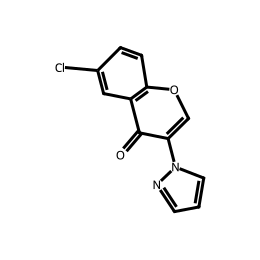 O=c1c(-n2cccn2)coc2ccc(Cl)cc12